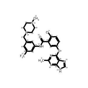 Cc1nc(Oc2ccc(Cl)c(C(=O)Nc3cc(CN4CCN(C)CC4)cc(C(F)(F)F)c3)c2)c2nc[nH]c2n1